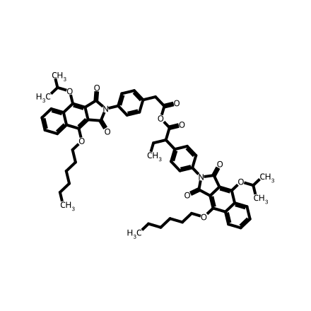 CCCCCCOc1c2c(c(OC(C)C)c3ccccc13)C(=O)N(c1ccc(CC(=O)OC(=O)C(CC)c3ccc(N4C(=O)c5c(c(OC(C)C)c6ccccc6c5OCCCCCC)C4=O)cc3)cc1)C2=O